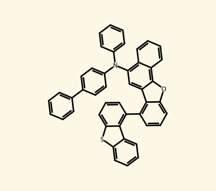 c1ccc(-c2ccc(N(c3ccccc3)c3cc4c(oc5cccc(-c6cccc7sc8ccccc8c67)c54)c4ccccc34)cc2)cc1